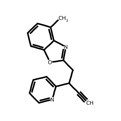 C#CC(Cc1nc2c(C)cccc2o1)c1ccccn1